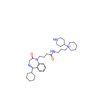 O=C(CCCN1C(=O)CN=C(C2CCCCC2)c2ccccc21)NCCC[N+]1(C2CCNCC2)CCCCC1